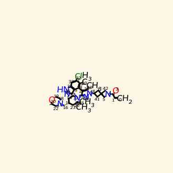 C=CC(=O)N1CC2(CC(n3nc(N4CC[C@@H](CN5CCOCC5)CC4(C)C)c(-c4c(C)c(Cl)cc5[nH]ncc45)c3C)C2)C1